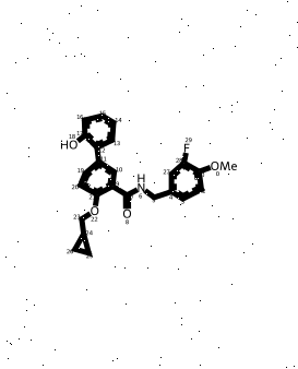 COc1ccc(CNC(=O)c2cc(-c3ccccc3O)ccc2OCC2CC2)cc1F